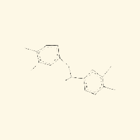 Cc1ccc(CC([O])c2ccc(C)c(C)c2)cc1C